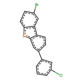 Clc1cccc(-c2ccc3c(c2)sc2ccc(Br)cc23)c1